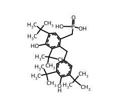 CC(C)(C)c1cc(Cc2c(CP(=O)(O)O)cc(C(C)(C)C)c(O)c2C(C)(C)C)cc(C(C)(C)C)c1O